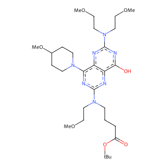 COCCN(CCCC(=O)OC(C)(C)C)c1nc(N2CCC(OC)CC2)c2nc(N(CCOC)CCOC)nc(O)c2n1